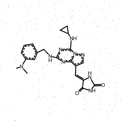 CN(C)c1cccc(CNc2nc(NC3CC3)n3ncc(/C=C4\NC(=O)NC4=O)c3n2)c1